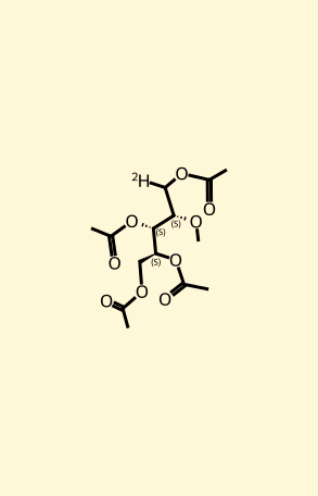 [2H]C(OC(C)=O)[C@H](OC)[C@@H](OC(C)=O)[C@H](COC(C)=O)OC(C)=O